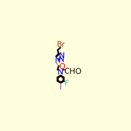 O=CC1O[C@@H](Cn2cc(CCBr)nn2)CN1c1ccc(I)c(F)c1